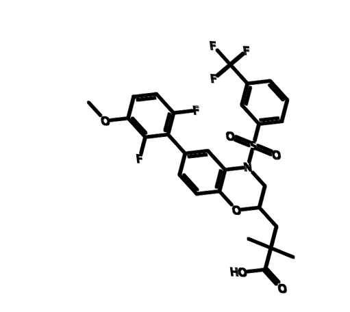 COc1ccc(F)c(-c2ccc3c(c2)N(S(=O)(=O)c2cccc(C(F)(F)F)c2)CC(CC(C)(C)C(=O)O)O3)c1F